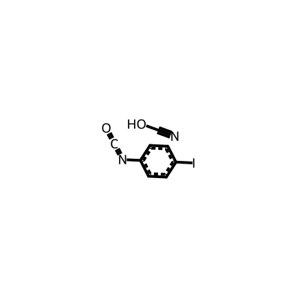 N#CO.O=C=Nc1ccc(I)cc1